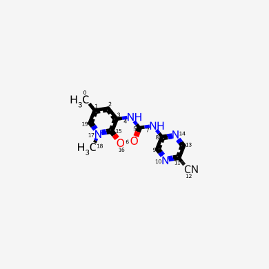 Cc1cc(NC(=O)Nc2cnc(C#N)cn2)c(=O)n(C)c1